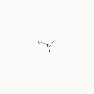 [CH3][Sb]([CH3])[Cl]